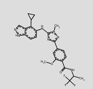 COc1cc(-c2nc(Nc3ccc4[nH]ncc4c3C3CC3)n(C)n2)ccc1C(=O)NC(C)C(F)(F)F